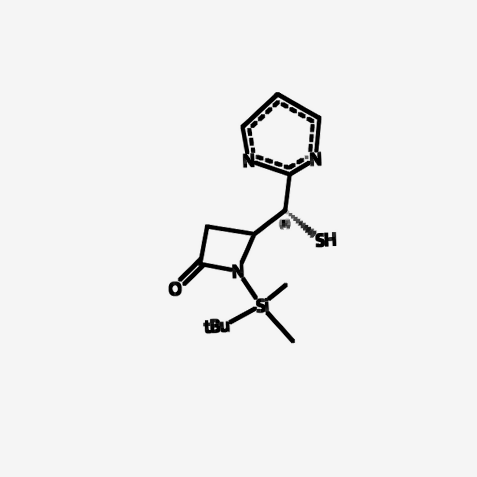 CC(C)(C)[Si](C)(C)N1C(=O)CC1[C@@H](S)c1ncccn1